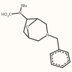 CC(C)(C)N(C(=O)O)C1CC2CN(Cc3ccccc3)CC1O2